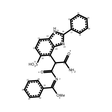 COC(=NC(=O)C(C(N)=O)c1c(S(=O)(=O)O)ccc2[nH]c(-c3ccccc3)nc12)c1ccccc1